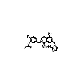 CNc1nccn1Cc1cc(Br)c2c(c1)C(=O)N(Cc1ccc(F)c(OC(F)F)c1)CC2